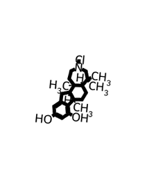 CC1(C)CN(Cl)CC[C@]2(C)[C@H]3Cc4cc(O)cc(O)c4[C@]3(C)CC[C@@H]12